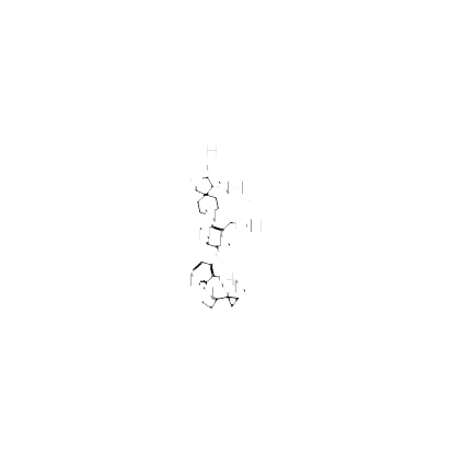 C[C@@H]1OCC2(CCN(c3ncc(Sc4ccnc(N5CCC5C5(C#N)CC5)c4Cl)nc3CO)CC2)[C@@H]1N